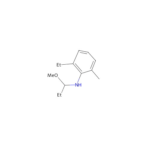 CCc1cccc(C)c1NC(CC)OC